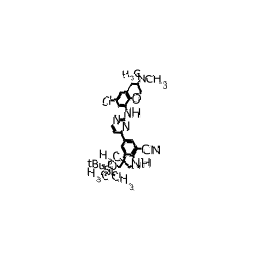 CN(C)C1COc2c(cc(Cl)cc2Nc2nccc(-c3cc(C#N)c4c(c3)[C@@](C)(CO[Si](C)(C)C(C)(C)C)CN4)n2)C1